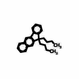 CCCCC1(CCCC)c2ccccc2-c2cc3ccccc3cc21